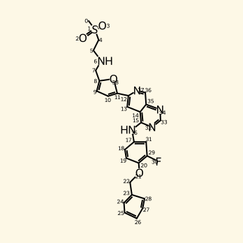 CS(=O)(=O)CCNCc1ccc(-c2cc3c(Nc4ccc(OCc5ccccc5)c(F)c4)ncnc3cn2)o1